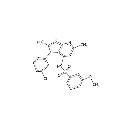 COc1cccc(S(=O)(=O)Nc2cc(C)nc3sc(C)c(-c4cccc(Cl)c4)c23)c1